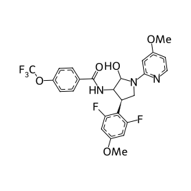 COc1ccnc(N2C[C@@H](c3c(F)cc(OC)cc3F)C(NC(=O)c3ccc(OC(F)(F)F)cc3)C2O)c1